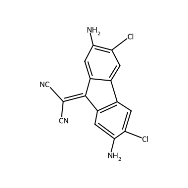 N#CC(C#N)=C1c2cc(N)c(Cl)cc2-c2cc(Cl)c(N)cc21